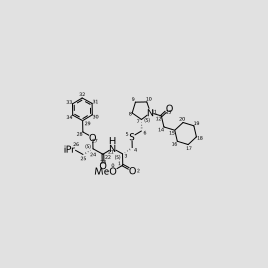 COC(=O)[C@@H](CSC[C@@H]1CCCN1C(=O)CC1CCCCC1)NC(=O)[C@H](CC(C)C)OCc1ccccc1